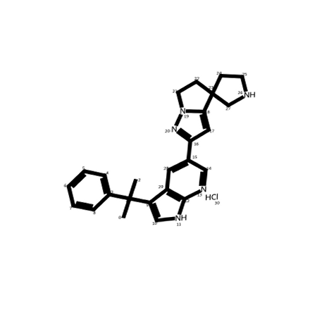 CC(C)(c1ccccc1)c1c[nH]c2ncc(-c3cc4n(n3)CCC43CCNC3)cc12.Cl